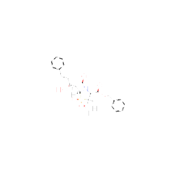 CC1(C)[C@H](C(=O)OCc2ccccc2)N2C(=O)[C@@H]([C@H](O)CCc3ccccc3)[C@H]2S1(=O)=O